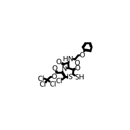 CC(Cl)=C(C(=O)OCC(Cl)(Cl)Cl)N1C(=O)C(NC(=O)COc2ccccc2)C1C(=O)C(S)S